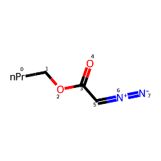 CCCCOC(=O)C=[N+]=[N-]